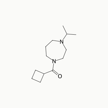 CC(C)N1CCCN(C(=O)C2CCC2)CC1